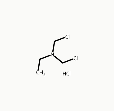 CCN(CCl)CCl.Cl